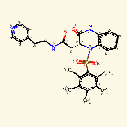 Cc1c(C)c(C)c(S(=O)(=O)N2c3ccccc3NC(=O)[C@H]2CC(=O)NCCc2ccncc2)c(C)c1C